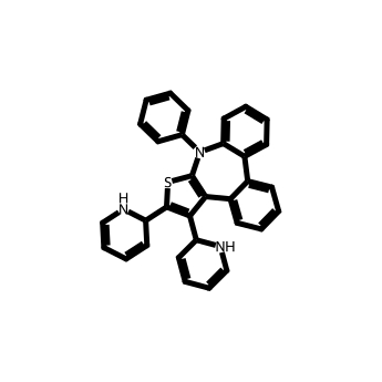 C1=CNC(c2sc3c(c2C2C=CC=CN2)-c2ccccc2-c2ccccc2N3c2ccccc2)C=C1